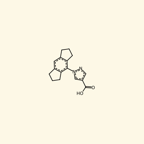 O=C(O)c1cnn(-c2c3c(cc4c2CCC4)CCC3)c1